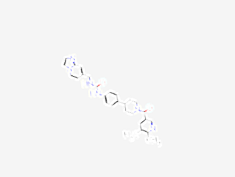 Cc1cc(C(=O)N2CCC(c3ccc(NC(=O)NCc4ccn5ccnc5c4)cc3)CC2)cnc1C